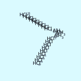 Cl.Cl.Cl.Cl.Cl.Cl.Cl.Cl.Cl.Cl.Cl.Cl.Cl.Cl.Cl.Cl.Cl.Cl.[AlH3].[AlH3].[AlH3]